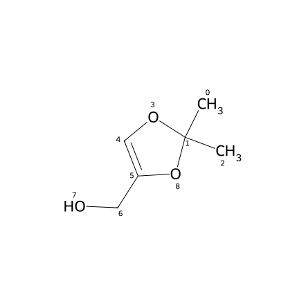 CC1(C)OC=C(CO)O1